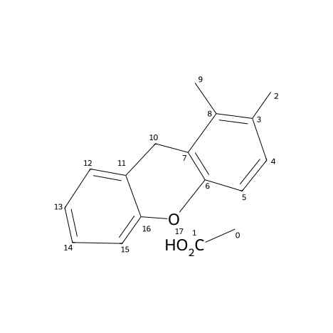 CC(=O)O.Cc1ccc2c(c1C)Cc1ccccc1O2